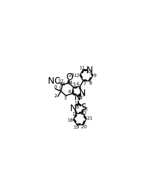 CC1(C)Cc2c(c(-c3ccncc3)nn2-c2nc3ccccc3s2)C(=O)C1C#N